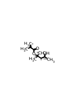 C=C(C)C(=O)OC(C)(C)CC(C)O